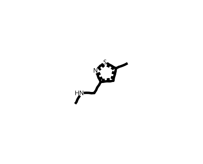 CNCc1cc(C)sn1